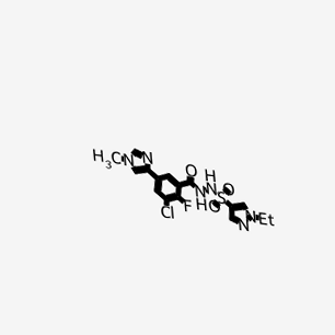 CCn1cc(S(=O)(=O)NNC(=O)c2cc(-c3cn(C)cn3)cc(Cl)c2F)cn1